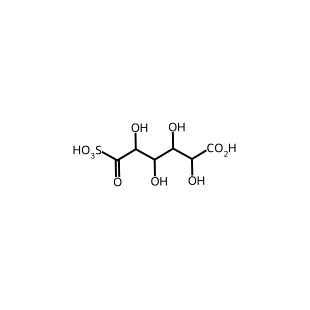 O=C(O)C(O)C(O)C(O)C(O)C(=O)S(=O)(=O)O